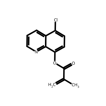 C=C(C)C(=O)Oc1ccc(Cl)c2cccnc12